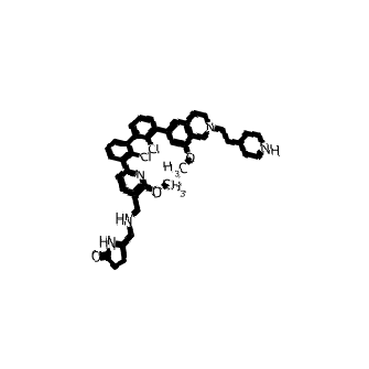 COc1cc(-c2cccc(-c3cccc(-c4ccc(CNCC5CCC(=O)N5)c(OC)n4)c3Cl)c2Cl)cc2c1CN(CCC1CCNCC1)CC2